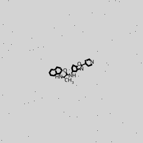 CC(Nc1cccc2ccccc12)C(=O)Nc1ccc2oc(-c3ccncc3)nc2c1